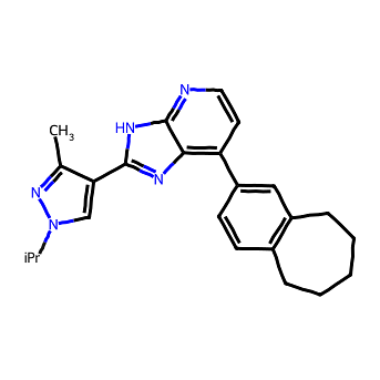 Cc1nn(C(C)C)cc1-c1nc2c(-c3ccc4c(c3)CCCCC4)ccnc2[nH]1